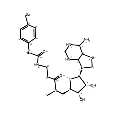 CN(C[C@H]1O[C@@H](N2CNC3C(N)NCNC32)[C@H](O)[C@@H]1O)C(=O)CCNC(=O)Nc1ccc(C(C)(C)C)cc1